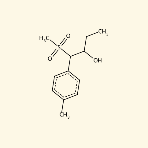 CCC(O)C(c1ccc(C)cc1)S(C)(=O)=O